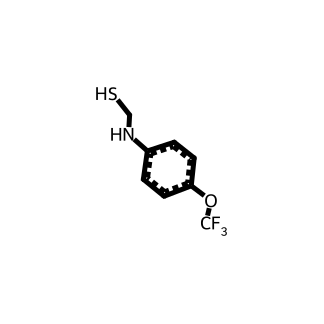 FC(F)(F)Oc1ccc(NCS)cc1